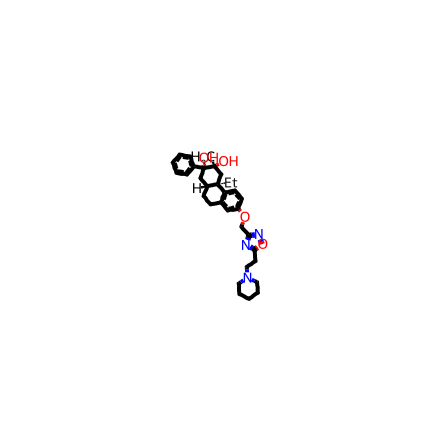 CC[C@@]12C[C@@](C)(O)[C@](O)(c3ccccc3)C[C@H]1CCc1cc(OCc3noc(CCN4CCCCC4)n3)ccc12